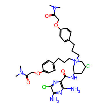 CN(C)C(=O)COc1ccc(CCC[N+]2(CCCc3ccc(OCC(=O)N(C)C)cc3)CCCC(NC(=O)c3nc(Cl)c(N)nc3N)C2)cc1.[Cl-]